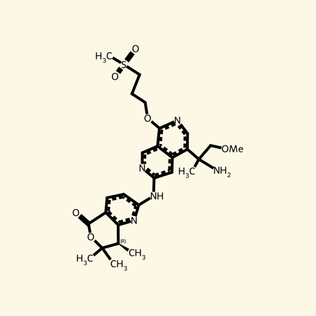 COCC(C)(N)c1cnc(OCCCS(C)(=O)=O)c2cnc(Nc3ccc4c(n3)[C@@H](C)C(C)(C)OC4=O)cc12